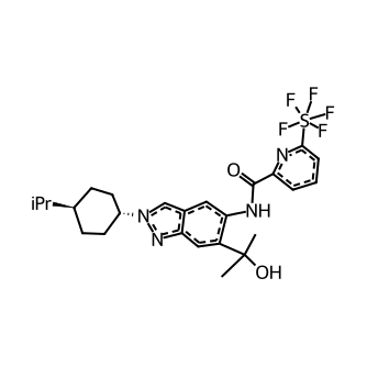 CC(C)[C@H]1CC[C@H](n2cc3cc(NC(=O)c4cccc(S(F)(F)(F)(F)F)n4)c(C(C)(C)O)cc3n2)CC1